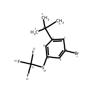 CC(C)(C)c1cc(Br)cc(SC(F)(F)F)c1